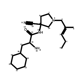 CCC=C(C)CN1CCC(C#N)(NC(=O)C(N)CC2CCCCC2)C1